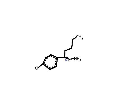 CCCC/C(=N\N)c1ccc(Cl)cc1